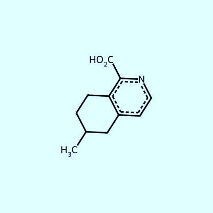 CC1CCc2c(ccnc2C(=O)O)C1